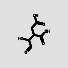 O=CC(O)C(CC(=O)O)C(=O)O